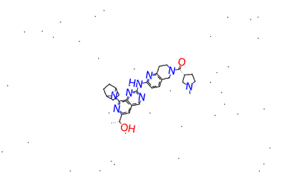 C[C@@H](O)c1cc2cnc(Nc3ccc4c(n3)CCN(C(=O)[C@@H]3CCN(C)C3)C4)nc2c(N2C3CCC2CC3)n1